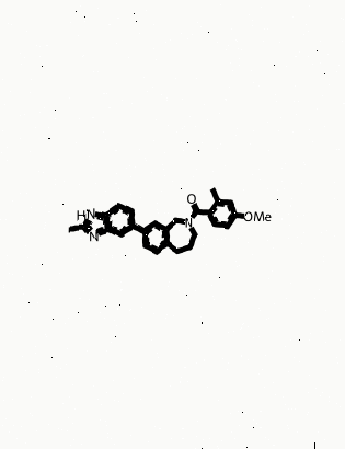 COc1ccc(C(=O)N2CCCc3ccc(-c4ccc5[nH]c(C)nc5c4)cc3C2)c(C)c1